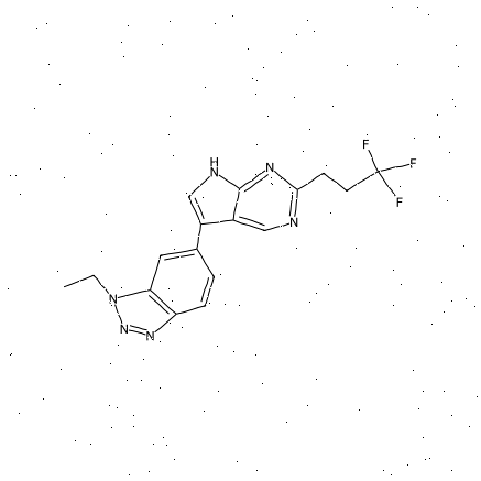 CCn1nnc2ccc(-c3c[nH]c4nc(CCC(F)(F)F)ncc34)cc21